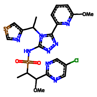 COc1cccc(-c2nnc(NS(=O)(=O)C(C)C(OC)c3ncc(Cl)cn3)n2C(C)c2cscn2)n1